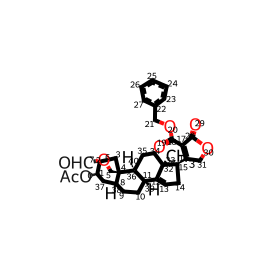 CC(=O)O[C@H]1CC[C@@]2(COC=O)[C@@H](CC[C@H]3C4=CC[C@H](C5=C(C(=O)OCc6ccccc6)C(=O)OC5)[C@@]4(C)CC[C@@H]32)C1